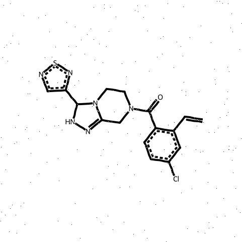 C=Cc1cc(Cl)ccc1C(=O)N1CCN2C(=NNC2c2cnsn2)C1